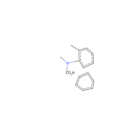 Cc1ccccc1N(C)C(=O)O.c1ccccc1